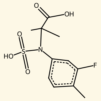 Cc1ccc(N(C(C)(C)C(=O)O)S(=O)(=O)O)cc1F